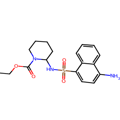 CCOC(=O)N1CCCCC1NS(=O)(=O)c1ccc(N)c2ccccc12